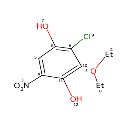 CCOCC.O=[N+]([O-])c1cc(O)c(Cl)cc1O